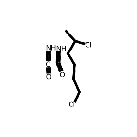 CC(Cl)CCCCCl.N=C=O.N=C=O